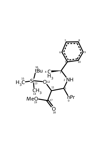 CCCC(N[C@@H](C)c1ccccc1)C(O[Si](C)(C)C(C)(C)C)C(=O)OC